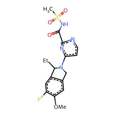 CCC1c2cc(F)c(OC)cc2CN1c1ccnc(C(=O)NS(C)(=O)=O)n1